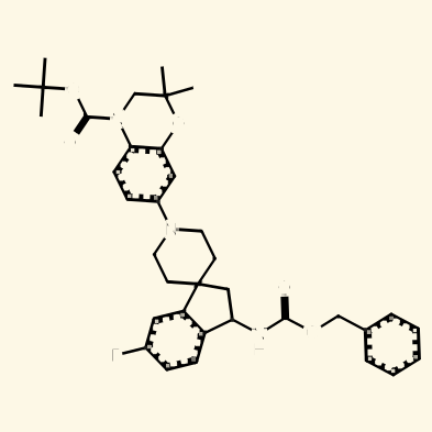 CC(C)(C)OC(=O)N1CC(C)(C)Oc2cc(N3CCC4(CC3)CC(NC(=O)OCc3ccccc3)c3ccc(F)cc34)ccc21